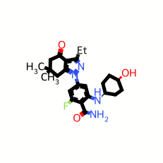 CCc1nn(-c2cc(F)c(C(N)=O)c(N[C@H]3CC[C@H](O)CC3)c2)c2c1C(=O)CC(C)(C)C2